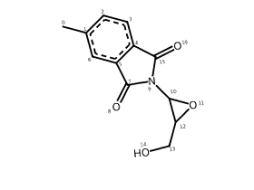 Cc1ccc2c(c1)C(=O)N(C1OC1CO)C2=O